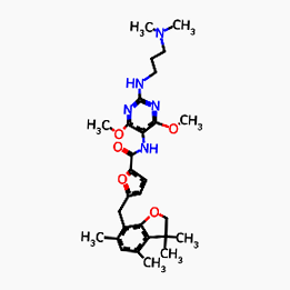 COc1nc(NCCCN(C)C)nc(OC)c1NC(=O)c1ccc(Cc2c(C)cc(C)c3c2OCC3(C)C)o1